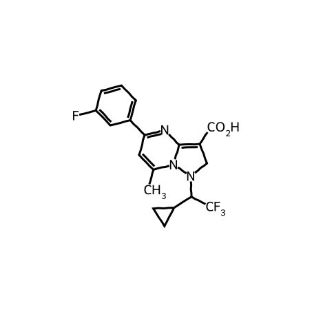 CC1=CC(c2cccc(F)c2)=NC2=C(C(=O)O)CN(C(C3CC3)C(F)(F)F)N12